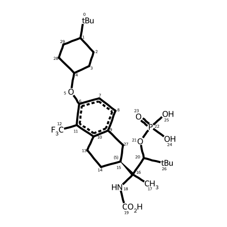 CC(C)(C)C1CCC(Oc2ccc3c(c2C(F)(F)F)CC[C@H](C(C)(NC(=O)O)C(OP(=O)(O)O)C(C)(C)C)C3)CC1